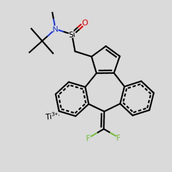 CN([Si](=O)CC1C=CC2=C1c1ccccc1C(=C(F)F)c1ccccc12)C(C)(C)C.[Ti+3]